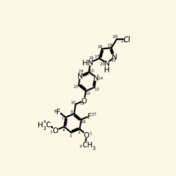 COc1cc(OC)c(F)c(COc2cnc(Nc3cc(CCl)n[nH]3)nc2)c1F